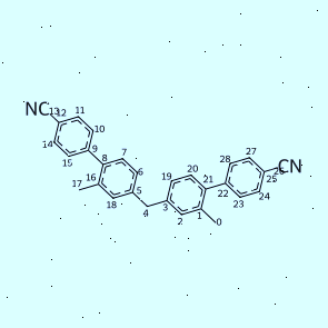 Cc1cc(Cc2ccc(-c3ccc(C#N)cc3)c(C)c2)ccc1-c1ccc(C#N)cc1